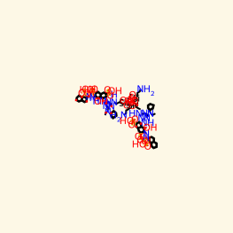 CCN(c1ccccc1)c1nc(NCCC[Si](OC)(OC)O[Si@](CCCN)(OC)O[Si](CCCNc2nc(Nc3cc(S(=O)(=O)O)cc4cc(S(=O)(=O)O)c(/N=N/c5ccc6ccccc6c5S(=O)(=O)O)c(O)c34)nc(N(CC)c3ccccc3)n2)(OC)O[Si](CCCN)(OC)OC)nc(Nc2cc(S(=O)(=O)O)cc3cc(S(=O)(=O)O)c(/N=N/c4ccc5ccccc5c4S(=O)(=O)O)c(O)c23)n1